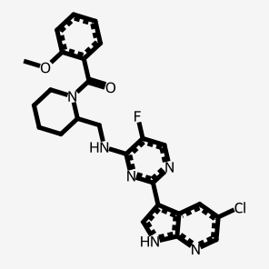 COc1ccccc1C(=O)N1CCCCC1CNc1nc(-c2c[nH]c3ncc(Cl)cc23)ncc1F